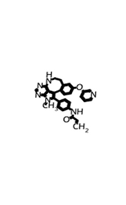 C=CC(=O)Nc1ccc(-c2c3c4c(ncnc4n2C)NCCc2cc(Oc4cccnc4)ccc2-3)cc1